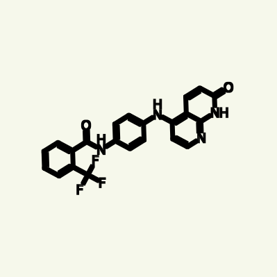 O=C(Nc1ccc(Nc2ccnc3[nH]c(=O)ccc23)cc1)c1ccccc1C(F)(F)F